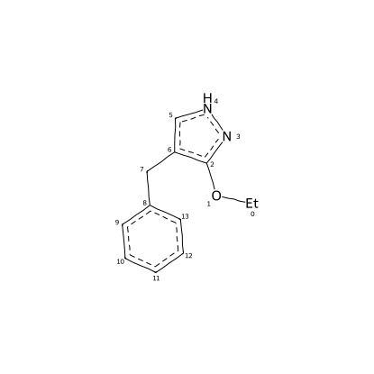 CCOc1n[nH]cc1Cc1ccccc1